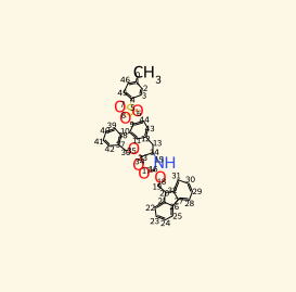 Cc1ccc(S(=O)(=O)Oc2ccc(CC(NC(=O)OCC3c4ccccc4-c4ccccc43)C(=O)OCc3ccccc3)cc2)cc1